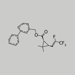 CC1(C)[C@H](C=C(F)C(F)(F)F)[C@@H]1C(=O)OCc1cccc(-c2ccccc2)c1